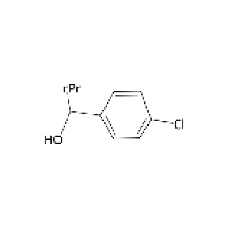 [CH2]CCC(O)c1ccc(Cl)cc1